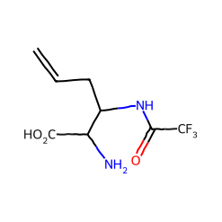 C=CCC(NC(=O)C(F)(F)F)C(N)C(=O)O